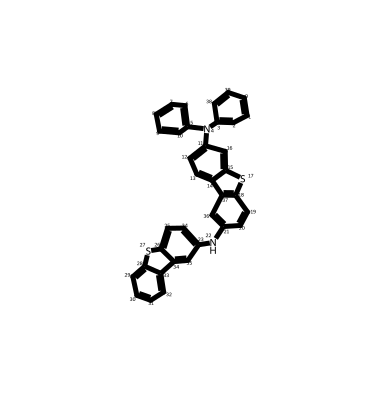 c1ccc(N(c2ccccc2)c2ccc3c(c2)sc2ccc(Nc4ccc5sc6ccccc6c5c4)cc23)cc1